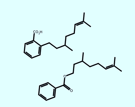 CC(C)=CCCC(C)CCOC(=O)c1ccccc1.CC(C)=CCCC(C)CCc1ccccc1C(=O)O